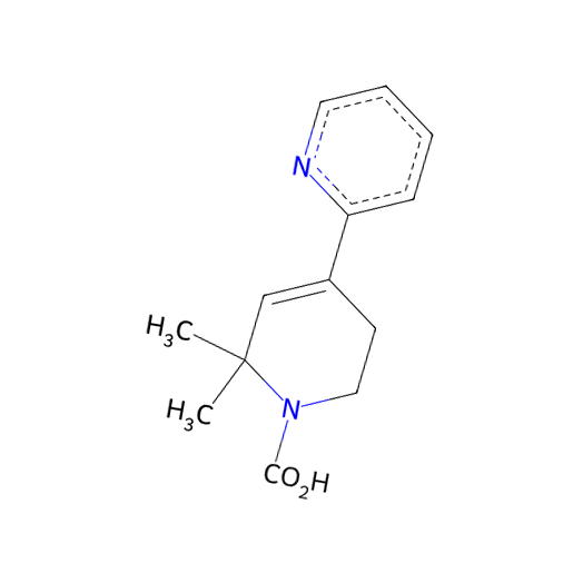 CC1(C)C=C(c2ccccn2)CCN1C(=O)O